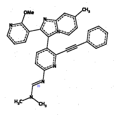 COc1ncccc1-c1nc2cc(C)ccn2c1-c1ccc(/N=C/N(C)C)nc1C#Cc1ccccc1